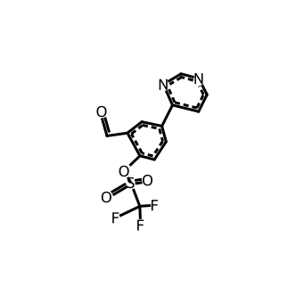 O=Cc1cc(-c2ccncn2)ccc1OS(=O)(=O)C(F)(F)F